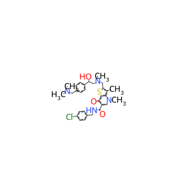 Cc1c(CN(C)CC(O)c2ccc(CN(C)C)cc2)sc2c(=O)c(C(=O)NCc3ccc(Cl)cc3)cn(C)c12